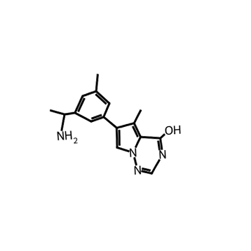 Cc1cc(-c2cn3ncnc(O)c3c2C)cc(C(C)N)c1